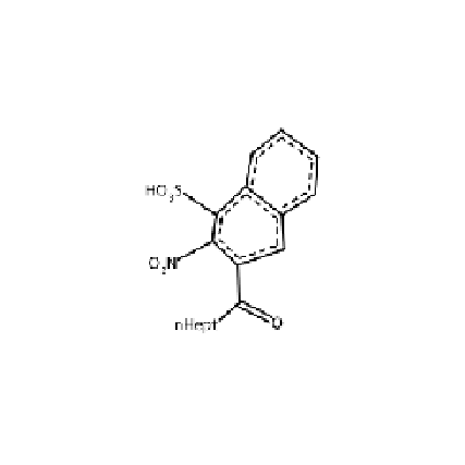 CCCCCCCC(=O)c1cc2ccccc2c(S(=O)(=O)O)c1[N+](=O)[O-]